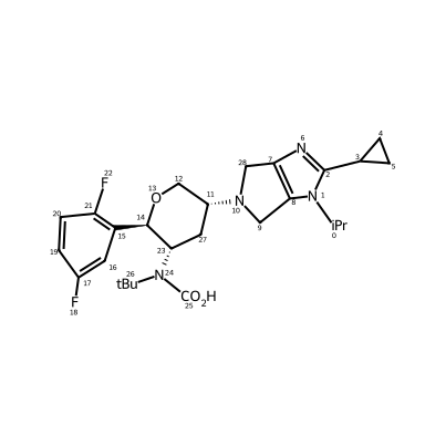 CC(C)n1c(C2CC2)nc2c1CN([C@H]1CO[C@H](c3cc(F)ccc3F)[C@@H](N(C(=O)O)C(C)(C)C)C1)C2